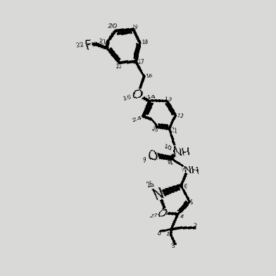 CC(C)(C)c1cc(NC(=O)Nc2ccc(OCc3cccc(F)c3)cc2)no1